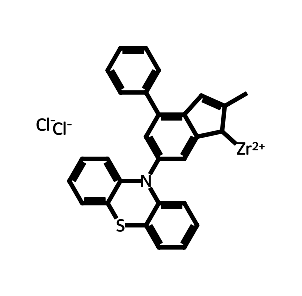 CC1=Cc2c(-c3ccccc3)cc(N3c4ccccc4Sc4ccccc43)cc2[CH]1[Zr+2].[Cl-].[Cl-]